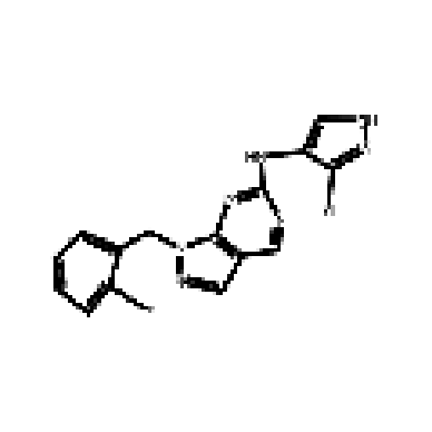 Fc1ccccc1Cn1ncc2cnc(Nc3c[nH]nc3Cl)nc21